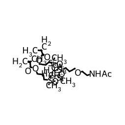 C=C(C)C(=O)OCCC[Si](C)(C)O[Si](C)(C)O[Si](C)(CCCOCCNC(C)=O)O[Si](C)(C)CCCOC(=O)C(=C)C